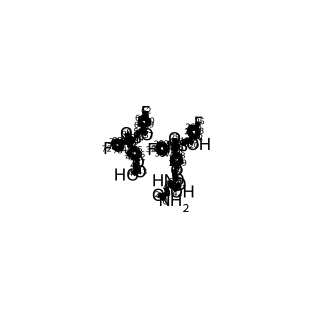 NC(=O)CC[C@H](NC(=O)COc1ccc([C@@H]2[C@@H](SCC(O)c3ccc(F)cc3)C(=O)N2c2ccc(F)cc2)cc1)C(=O)O.O=C(O)COc1ccc([C@@H]2[C@@H](SCC(=O)c3ccc(F)cc3)C(=O)N2c2ccc(F)cc2)cc1